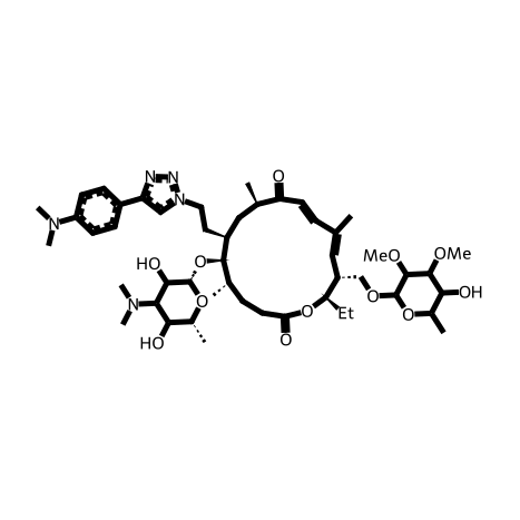 CC[C@H]1OC(=O)CC[C@H](C)[C@@H](O[C@@H]2O[C@H](C)C(O)C(N(C)C)C2O)[C@@H](CCn2cc(-c3ccc(N(C)C)cc3)nn2)C[C@@H](C)C(=O)/C=C/C(C)=C/[C@@H]1COC1OC(C)C(O)C(OC)C1OC